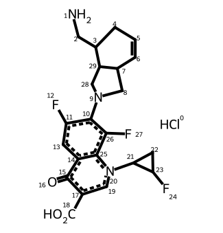 Cl.NCC1CC=CC2CN(c3c(F)cc4c(=O)c(C(=O)O)cn(C5CC5F)c4c3F)CC21